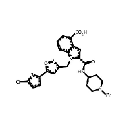 CC(C)N1CCC(NC(=O)c2cc3c(C(=O)O)cccc3n2Cc2cc(-c3ccc(Cl)s3)on2)CC1